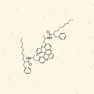 CCCCCCCCC(Cc1ccccc1)C(=O)NC(C)Cc1ccc(F)[c]([Ti]([C]2=CC=CC2)([C]2=CC=CC2)[c]2c(F)ccc(CC(C)NC(=O)C(CCCCCCCC)Cc3ccccc3)c2F)c1F